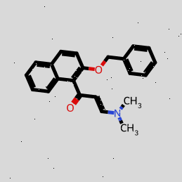 CN(C)C=CC(=O)c1c(OCc2ccccc2)ccc2ccccc12